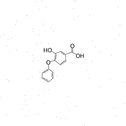 O=C(O)c1ccc(Oc2ccccc2)c(O)c1